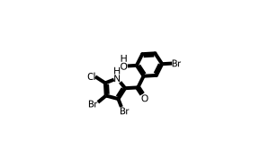 O=C(c1cc(Br)ccc1O)c1[nH]c(Cl)c(Br)c1Br